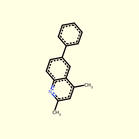 Cc1cc(C)c2cc(-c3ccccc3)ccc2n1